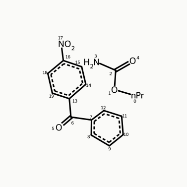 CCCOC(N)=O.O=C(c1ccccc1)c1ccc([N+](=O)[O-])cc1